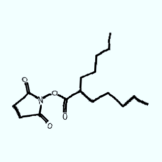 CCCCCC(CCCCC)C(=O)ON1C(=O)CCC1=O